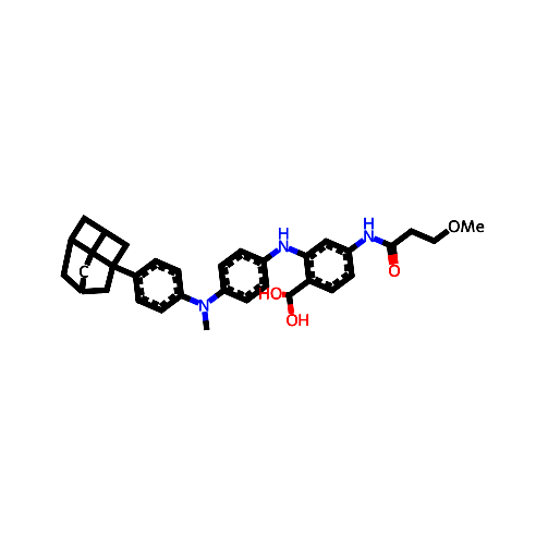 COCCC(=O)Nc1ccc(C(O)O)c(Nc2ccc(N(C)c3ccc(C45CC6CC7CC(C4)C75C6)cc3)cc2)c1